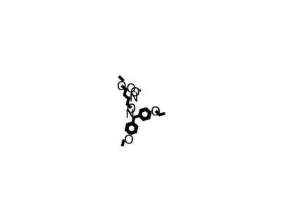 CCOC(=O)CC(CON=C(c1ccc(OCC)cc1)c1ccc(OCC)cc1)=NOC